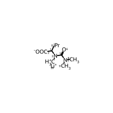 CC(C)C(C(=O)[O-])N(C)C(=O)N(C)C.[Li+]